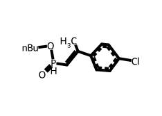 CCCCO[PH](=O)C=C(C)c1ccc(Cl)cc1